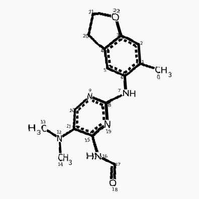 Cc1cc2c(cc1Nc1ncc(N(C)C)c(NC=O)n1)CCO2